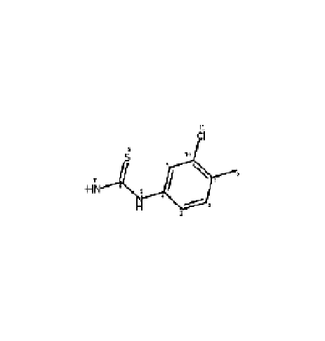 Cc1ccc(NC([NH])=S)cc1Cl